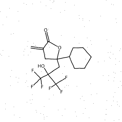 C=C1CC(CC(O)(C(F)(F)F)C(F)(F)F)(C2CCCCC2)OC1=O